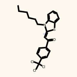 CCCCCCN1/C(=C/C(=O)c2ccc(C(Cl)(Cl)Cl)cc2)Sc2ccccc21